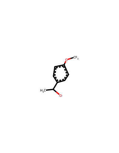 CC([O])c1ccc(OC(F)(F)F)cc1